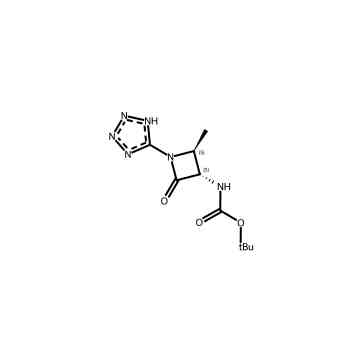 C[C@H]1[C@H](NC(=O)OC(C)(C)C)C(=O)N1c1nnn[nH]1